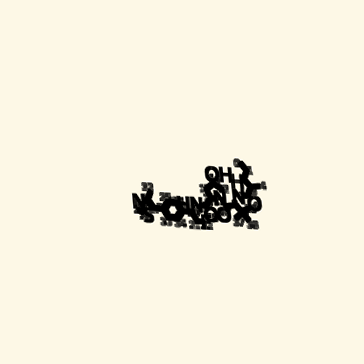 CCCC(C)C(=O)NC(C(=O)N1CC(O)CC1C(=O)NC(CF)c1ccc(-c2scnc2C)cc1)C(C)(C)C